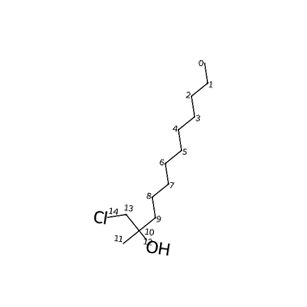 CCCCCCCCCCC(C)(O)CCl